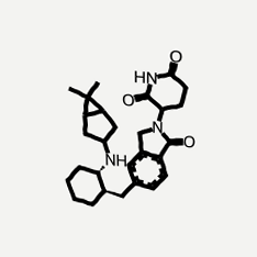 CC1(C)C2CC(N[C@H]3CCCC[C@@H]3Cc3ccc4c(c3)CN(C3CCC(=O)NC3=O)C4=O)CC21